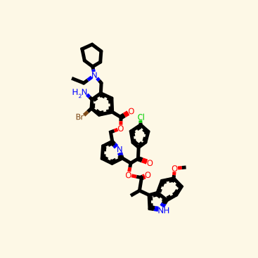 CCN(Cc1cc(C(=O)OCc2cccc(C(OC(=O)C(C)c3c[nH]c4ccc(OC)cc34)C(=O)c3ccc(Cl)cc3)n2)cc(Br)c1N)C1CCCCC1